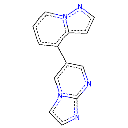 [c]1nc2nccn2cc1-c1cccn2nccc12